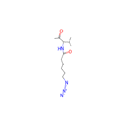 CC(=O)C(NC(=O)CCCCCN=[N+]=[N-])C(C)C